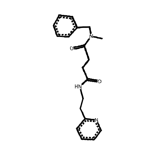 CN(Cc1ccccc1)C(=O)CCC(=O)NCCc1ccccn1